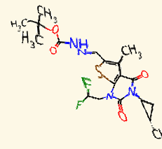 Cc1c(/C=N/NC(=O)OC(C)(C)C)sc2c1c(=O)n([C@H]1C[C@@H]1C)c(=O)n2CC(F)F